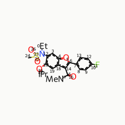 CCN(c1cc2oc(-c3ccc(F)cc3)c(C(=O)NC)c2cc1OC(C)C)S(C)(=O)=O